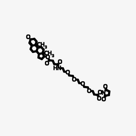 CC12CCC(=O)C=C1CCC1C2CCC2(C)C(OC(=O)CCC(=O)NCCOCCOCCOCCOCCC(=O)ON3C(=O)CCC3=O)CCC12